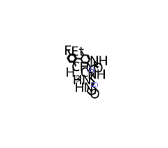 CCC1C=C2NC(=O)/C(=C(/C)NC(=N)/C=C3/COCCN3)C2=CC1c1cc(F)ccc1C